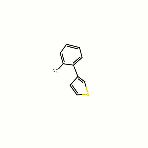 N#Cc1ccccc1-c1[c]scc1